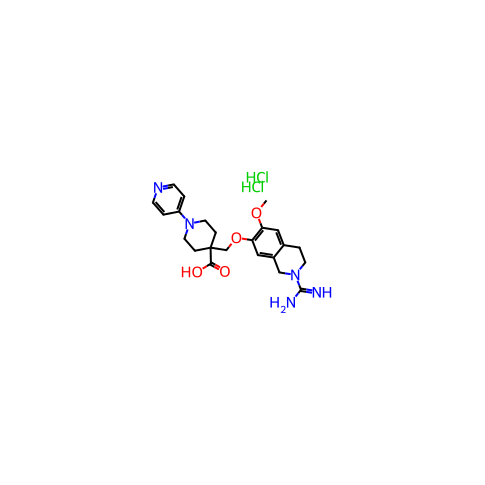 COc1cc2c(cc1OCC1(C(=O)O)CCN(c3ccncc3)CC1)CN(C(=N)N)CC2.Cl.Cl